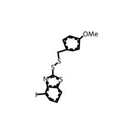 COc1ccc(CSSc2nc3c(I)cccc3s2)cc1